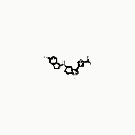 N#Cc1ccc2c(c1)CC[C@@H]2Nc1ccc2[nH]nc(-c3cnn(C(F)F)c3)c2c1